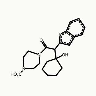 O=C(O)N1CCN(C(=O)C(c2cc3ccccc3s2)C2(O)CCCCC2)CC1